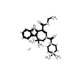 CCOC(=O)C1=CN(C(=O)N2CC[N+](C)(C)CC2)CC(C)(C)c2c1[nH]c1ccccc21.[I-]